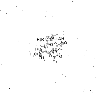 CC(C)(C)[C@H](N)C(=O)N1C[C@H]2C([C@H]1C(=O)N[C@@H](C[C@@H]1CC3(CCC3)NC1=O)C(N)=O)C2(C)C